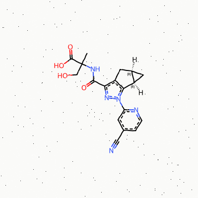 CC(CO)(NC(=O)c1nn(-c2cc(C#N)ccn2)c2c1C[C@H]1C[C@@H]21)C(=O)O